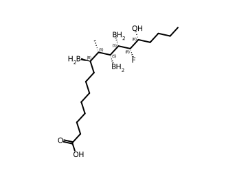 B[C@@H]([C@H](B)[C@@H](F)[C@H](O)CCCC)[C@@H](C)[C@H](B)CCCCCCCC(=O)O